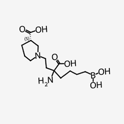 NC(CCCCB(O)O)(CCN1CCC[C@H](C(=O)O)C1)C(=O)O